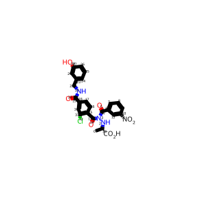 C[C@H](NN(C(=O)c1cccc([N+](=O)[O-])c1)C(=O)c1ccc(C(=O)NCc2cccc(O)c2)cc1Cl)C(=O)O